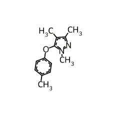 Cc1ccc(Oc2c(C)c(C)nn2C)cc1